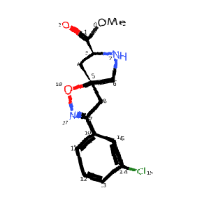 COC(=O)[C@@H]1C[C@@]2(CN1)CC(c1cccc(Cl)c1)=NO2